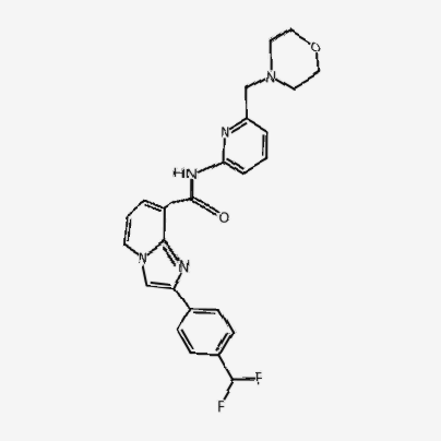 O=C(Nc1cccc(CN2CCOCC2)n1)c1cccn2cc(-c3ccc(C(F)F)cc3)nc12